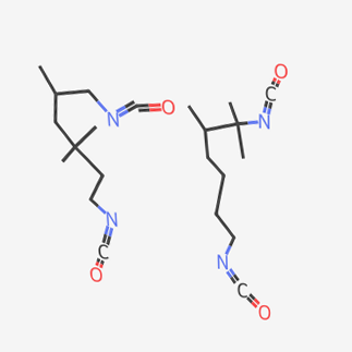 CC(CCCCN=C=O)C(C)(C)N=C=O.CC(CN=C=O)CC(C)(C)CCN=C=O